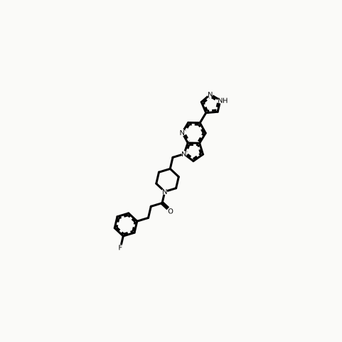 O=C(CCc1cccc(F)c1)N1CCC(Cn2ccc3cc(-c4cn[nH]c4)cnc32)CC1